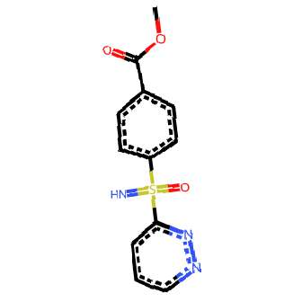 COC(=O)c1ccc(S(=N)(=O)c2cccnn2)cc1